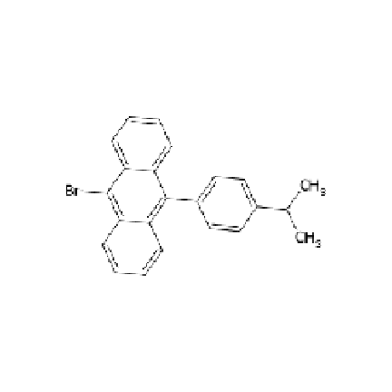 CC(C)c1ccc(-c2c3ccccc3c(Br)c3ccccc23)cc1